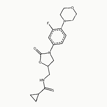 O=C1OC(CNC(=S)C2CC2)CN1c1ccc(N2CCOCC2)c(F)c1